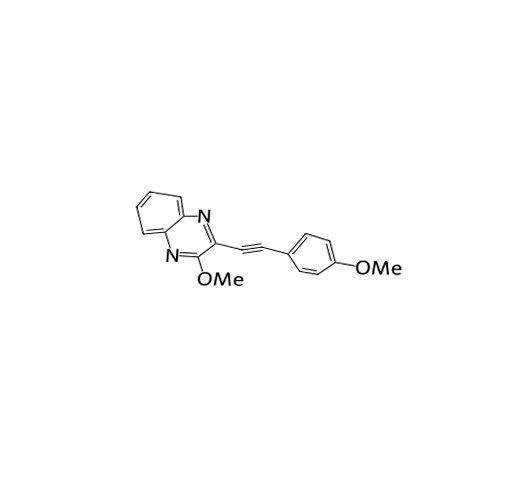 COc1ccc(C#Cc2nc3ccccc3nc2OC)cc1